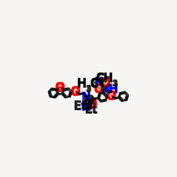 CC[Si](CC)(CC)OC(CNCCOc1ccc2c(c1)oc1ccccc12)c1ccc(OCc2ccccc2)c(NS(=O)(=O)N(C)C)c1